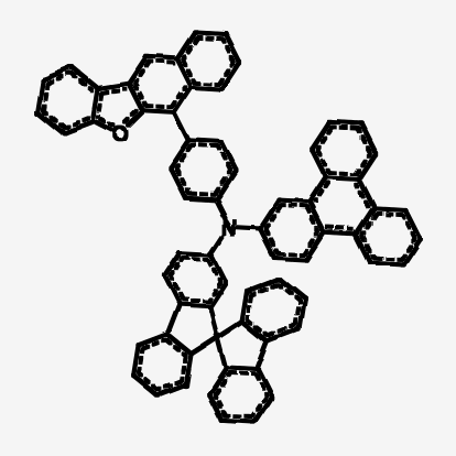 c1ccc2c(c1)-c1ccccc1C21c2ccccc2-c2ccc(N(c3ccc(-c4c5ccccc5cc5c4oc4ccccc45)cc3)c3ccc4c5ccccc5c5ccccc5c4c3)cc21